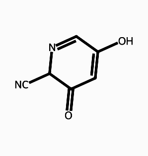 N#CC1N=CC(O)=CC1=O